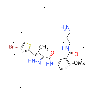 COc1ccc(NC(=O)c2n[nH]c(-c3cc(Br)cs3)c2C)cc1C(=O)NCCCN